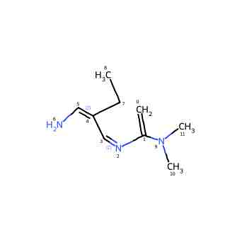 C=C(/N=C\C(=C/N)CC)N(C)C